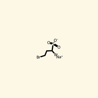 O=S(=O)([O-])C(Br)CCBr.[Na+]